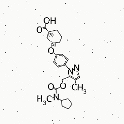 Cc1cnn(-c2ccc(O[C@H]3CCC[C@H](C(=O)O)C3)cc2)c1COC(=O)N(C)C1CCCC1